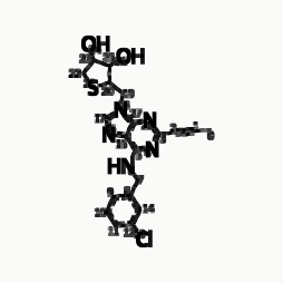 CC#Cc1nc(NCc2cccc(Cl)c2)c2ncn(CC3SCC(O)C3O)c2n1